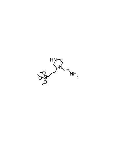 CO[Si](CCCC1CNCCN1CCN)(OC)OC